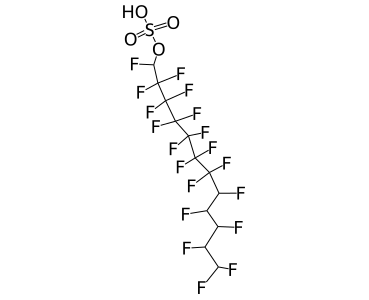 O=S(=O)(O)OC(F)C(F)(F)C(F)(F)C(F)(F)C(F)(F)C(F)(F)C(F)(F)C(F)C(F)C(F)C(F)C(F)F